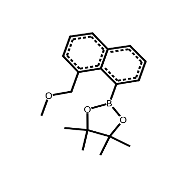 COCc1cccc2cccc(B3OC(C)(C)C(C)(C)O3)c12